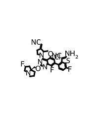 N#C/C=C1\CCN2c3nc(OC[C@@]45CCCN4C[C@H](F)C5)nc4c(F)c(-c5ccc(F)c6sc(N)c(C#N)c56)c(Cl)c(c34)OCC12